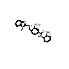 CC(=O)Nc1cc(C(=O)Nc2ccccc2N)ccc1CNc1nc2ccccc2n1C